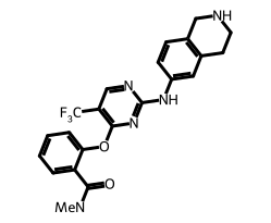 CNC(=O)c1ccccc1Oc1nc(Nc2ccc3c(c2)CCNC3)ncc1C(F)(F)F